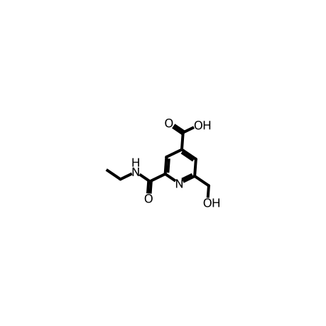 CCNC(=O)c1cc(C(=O)O)cc(CO)n1